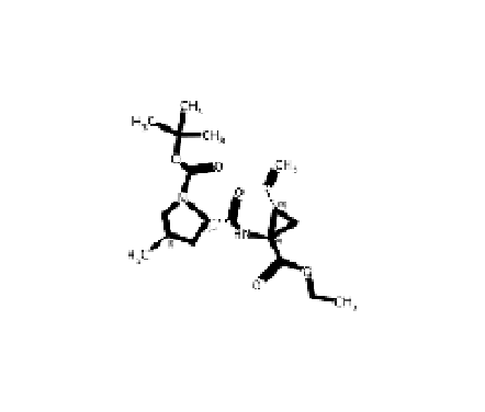 C=C[C@@H]1C[C@]1(NC(=O)[C@@H]1C[C@@H](C)CN1C(=O)OC(C)(C)C)C(=O)OCC